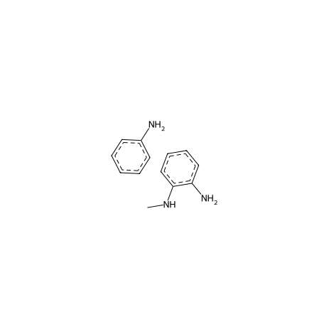 CNc1ccccc1N.Nc1ccccc1